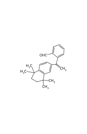 C=C(c1ccc2c(c1)C(C)(C)CCC2(C)C)c1ccccc1C=O